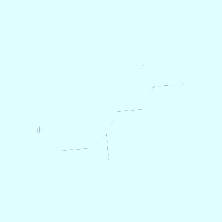 CC(C)CC1CC1CCC([O])=O